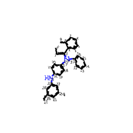 C/C=C(\c1ccccc1C)N(c1ccccc1)c1ccc(Nc2cccc(C)c2)cc1